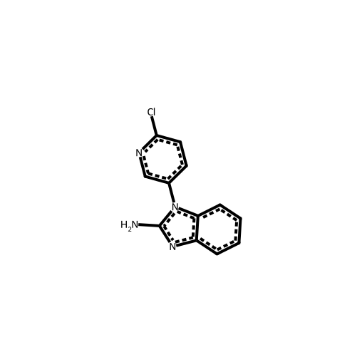 Nc1nc2ccccc2n1-c1ccc(Cl)nc1